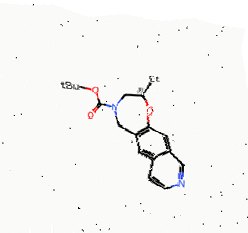 CC[C@@H]1CN(C(=O)OC(C)(C)C)Cc2cc3ccncc3cc2O1